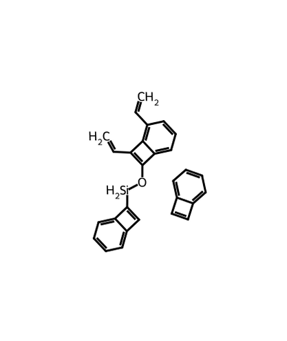 C1=Cc2ccccc21.C=CC1=C(O[SiH2]C2=Cc3ccccc32)c2cccc(C=C)c21